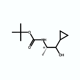 C[C@H](NC(=O)OC(C)(C)C)C(O)C1CC1